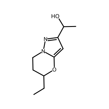 CCC1CCn2nc(C(C)O)cc2O1